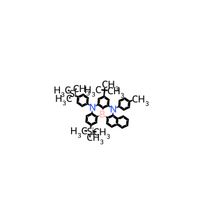 Cc1ccc(N2c3cc(C(C)(C)C)cc4c3B(c3cc([Si](C)(C)C)ccc3N4c3ccc([Si](C)(C)C)cc3)c3ccc4ccccc4c32)cc1